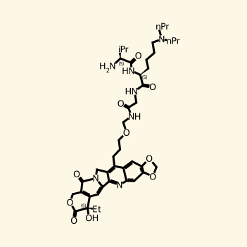 CCCN(CCC)CCCC[C@H](NC(=O)[C@@H](N)C(C)C)C(=O)NCC(=O)NCOCCCc1c2c(nc3cc4c(cc13)OCO4)-c1cc3c(c(=O)n1C2)COC(=O)[C@]3(O)CC